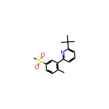 Cc1ccc(S(C)(=O)=O)cc1-c1cccc(C(C)(C)C)n1